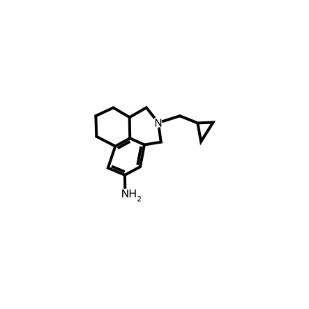 Nc1cc2c3c(c1)CN(CC1CC1)CC3CCC2